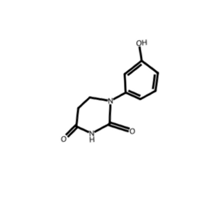 O=C1CCN(c2cccc(O)c2)C(=O)N1